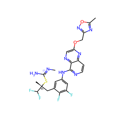 C/N=C(/N)S[C@](C)(Cc1cc(Nc2nccc3nc(OCc4noc(C)n4)cnc23)cc(F)c1F)C(F)F